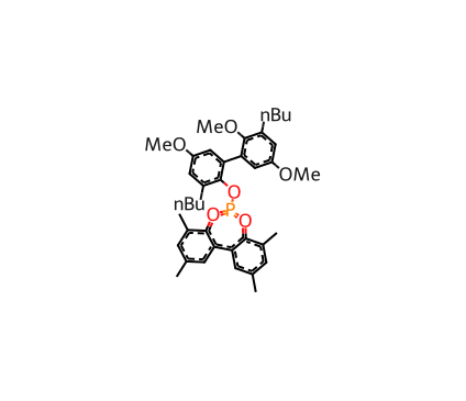 CCCCc1cc(OC)cc(-c2cc(OC)cc(CCCC)c2Op2oc3c(C)cc(C)cc3c3cc(C)cc(C)c3o2)c1OC